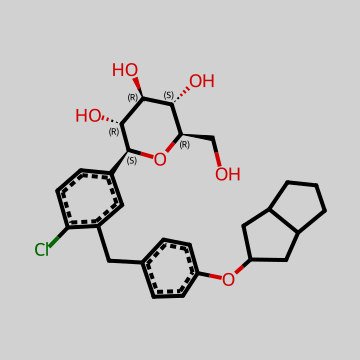 OC[C@H]1O[C@@H](c2ccc(Cl)c(Cc3ccc(OC4CC5CCCC5C4)cc3)c2)[C@H](O)[C@@H](O)[C@@H]1O